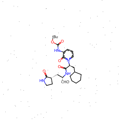 CC(C)(C)OC(=O)Nc1cccn([C@@H](CC2CCCCC2)C(=O)N[C@H](C=O)C[C@@H]2CCNC2=O)c1=O